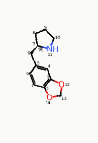 c1cc2c(cc1C[C@H]1CCCN1)OCO2